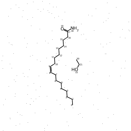 CCCCCCCC/C=C\CCCCCCCC(N)=O.CCO